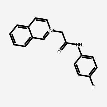 O=C(C[n+]1ccc2ccccc2c1)Nc1ccc(F)cc1